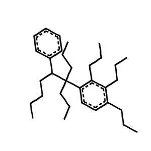 CCCC[C](c1ccccc1)C(CCC)(CCC)c1ccc(CCC)c(CCC)c1CCC